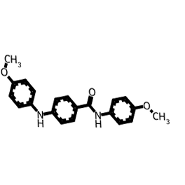 COc1ccc(NC(=O)c2ccc(Nc3ccc(OC)cc3)cc2)cc1